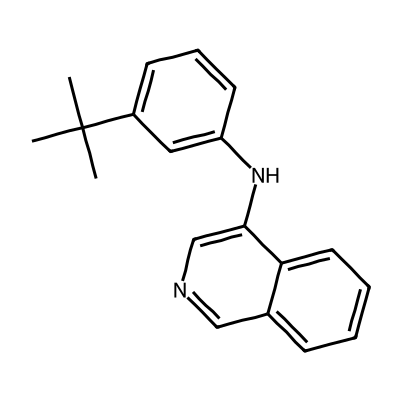 CC(C)(C)c1cccc(Nc2cncc3ccccc23)c1